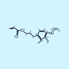 C=CC(=O)OCCCc1ccc(O[SiH3])c(C)c1C